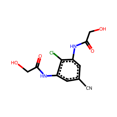 N#Cc1cc(NC(=O)CO)c(Cl)c(NC(=O)CO)c1